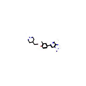 CC(=O)N1CCC(CCOc2ccc(-c3cc4c(nnn4C)c(C#N)n3)cc2C)CC1